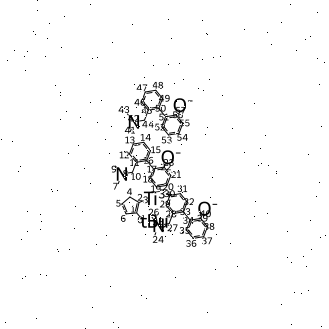 CC(C)(C)C1=[C]([Ti+3])CC=C1.CN(C)Cc1ccccc1-c1ccccc1[O-].CN(C)Cc1ccccc1-c1ccccc1[O-].CN(C)Cc1ccccc1-c1ccccc1[O-]